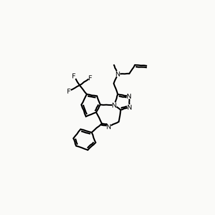 C=CCN(C)Cc1nnc2n1-c1cc(C(F)(F)F)ccc1C(c1ccccc1)=NC2